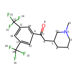 CN1CCCC(CC(=O)c2cc(C(F)(F)F)cc(C(F)(F)F)c2)C1